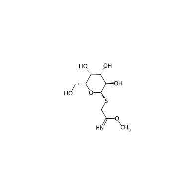 COC(=N)CS[C@H]1O[C@H](CO)[C@H](O)[C@H](O)[C@H]1O